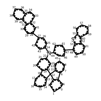 c1ccc2c(c1)-c1ccccc1C21c2ccccc2-c2ccc(N(c3ccc(-c4ccc5c(ccc6ccccc65)c4)cc3)c3ccc(-c4cccc5c4sc4ccccc45)cc3)cc21